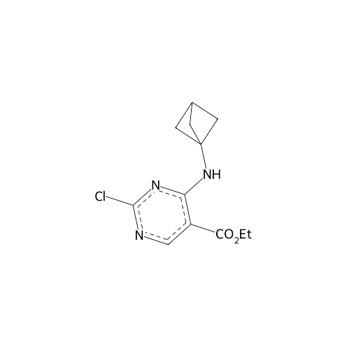 CCOC(=O)c1cnc(Cl)nc1NC12CC(C1)C2